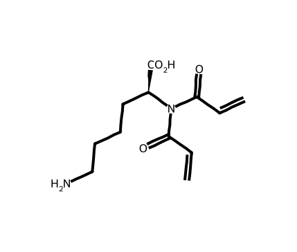 C=CC(=O)N(C(=O)C=C)[C@@H](CCCCN)C(=O)O